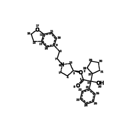 O=C(O[C@H]1CCN(CCc2ccc3c(c2)CCO3)C1)C(O)(c1ccccc1)C1CCCC1